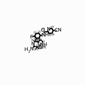 CC1(C)C(N)=N[C@](C)(c2cc(NC(=O)c3ccc(C#N)cn3)ccc2F)[C@@H]2CCNS21O